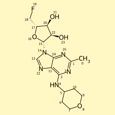 Cc1nc(NC2CCOCC2)c2ncn([C@@H]3O[C@H](CF)[C@@H](O)[C@H]3O)c2n1